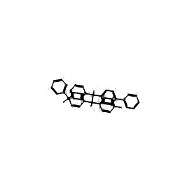 Cc1ccc(C(O)(C2=CCC(C)(c3ccccc3)C=C2)C(O)(c2ccccc2)c2ccc(-c3ccccc3)cc2)cc1